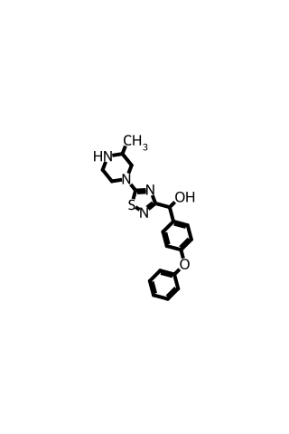 CC1CN(c2nc(C(O)c3ccc(Oc4ccccc4)cc3)ns2)CCN1